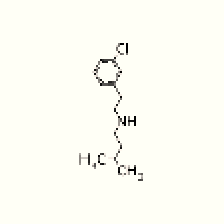 CC(C)CCNCCc1cccc(Cl)c1